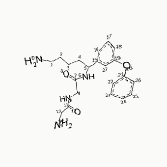 NCCCCC(NC(=O)CNC(=O)CN)c1cccc(Oc2ccccc2)c1